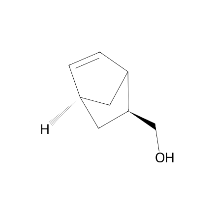 OC[C@H]1C[C@H]2C=CC1C2